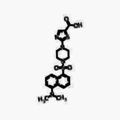 CN(C)c1cccc2c(S(=O)(=O)N3CCN(c4ncc(C(=O)O)s4)CC3)cccc12